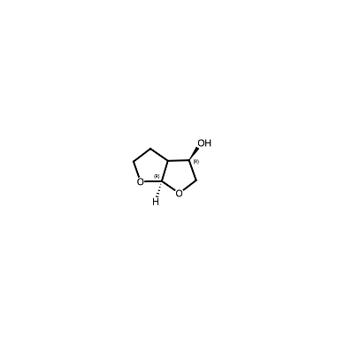 O[C@H]1CO[C@H]2OCCC21